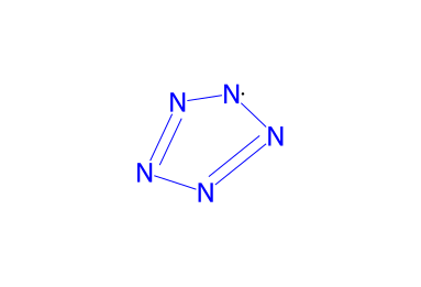 [N]1N=NN=N1